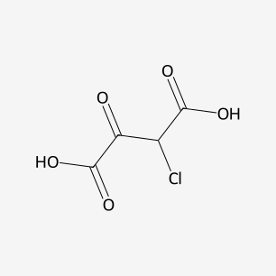 O=C(O)C(=O)C(Cl)C(=O)O